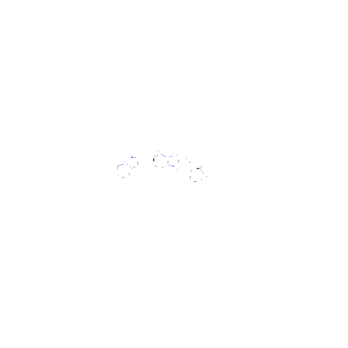 Cn1c(Nc2cc(C3CC3)cn([C@H]3C[C@H](O)C3)c2=O)nc2ncc(Oc3cnn4cc(F)ccc34)c(Cl)c21